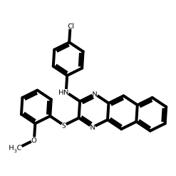 COc1ccccc1Sc1nc2cc3ccccc3cc2nc1Nc1ccc(Cl)cc1